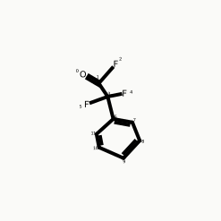 O=C(F)C(F)(F)c1ccccc1